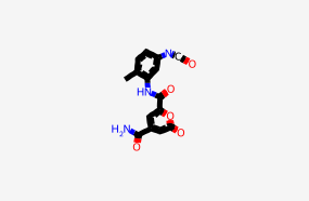 Cc1ccc(N=C=O)cc1NC(=O)c1cc(C(N)=O)cc(=O)o1